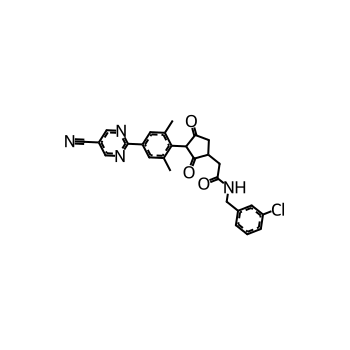 Cc1cc(-c2ncc(C#N)cn2)cc(C)c1C1C(=O)CC(CC(=O)NCc2cccc(Cl)c2)C1=O